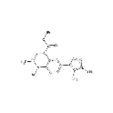 CC(=O)N1c2ccc(-c3cnn(C)c3C)cc2N(C(=O)OC(C)C)C[C@@H]1C